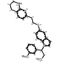 COc1cccc(C(CC(=O)O)n2ccc3cc(OCCc4ccc5c(n4)NCCC5)ccc32)c1